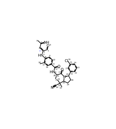 CC(=N)/C=C(\C=O)Nc1ccc(C(=O)N[C@H](C)C(=O)N2C(c3cccc(Cl)c3)CCC2C(C)(C)C#N)cc1C